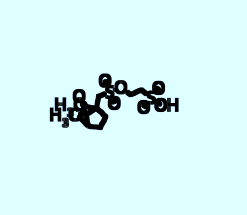 CC1(C)C2CCC1(CS(=O)(=O)OCCS(=O)(=O)O)C(=O)C2